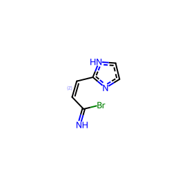 N=C(Br)/C=C\c1ncc[nH]1